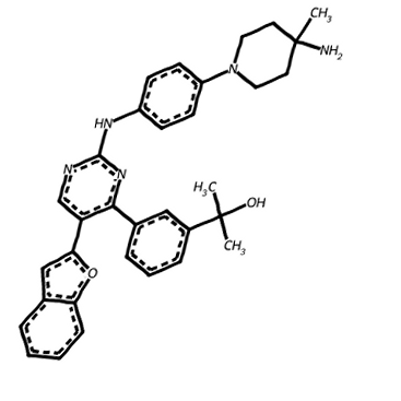 CC1(N)CCN(c2ccc(Nc3ncc(-c4cc5ccccc5o4)c(-c4cccc(C(C)(C)O)c4)n3)cc2)CC1